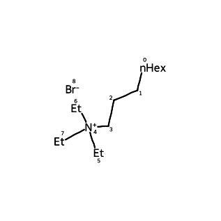 CCCCCCCCC[N+](CC)(CC)CC.[Br-]